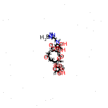 Bn1cc(CCN(C)C2CC(O[C@H]3[C@@H](CC=O)C[C@H](C)C(=O)/C=C/C(C)=C/[C@H](COC4OC(C)C(O)C(OC)C4OC)[C@@H](CC)OC(=O)C[C@@H](O)[C@H]3C)OC(C)[C@@H]2O)nn1